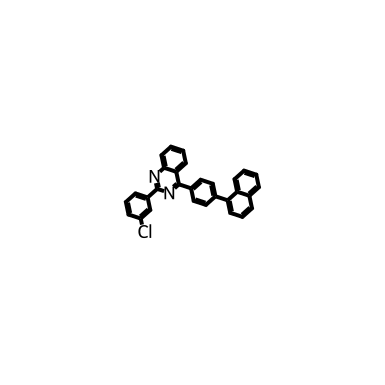 Clc1cccc(-c2nc(-c3ccc(-c4cccc5ccccc45)cc3)c3ccccc3n2)c1